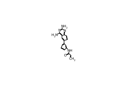 C=CC(=O)Nc1cccc(-c2ccc3nc(N)nc(N)c3c2)c1